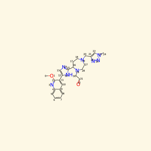 COc1nc2ccccc2cc1-c1cnc(C2CCN(Cc3cn(C)nn3)CCN2CC=O)[nH]1